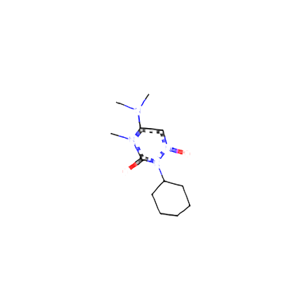 CN(C)c1c[n+](=O)n(C2CCCCC2)c(=O)n1C